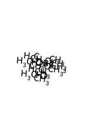 Cc1cc(B2OC(C)(C)C(C)(C)O2)ccc1C(C)(C)C.Cc1ccccc1C(C)(C)C